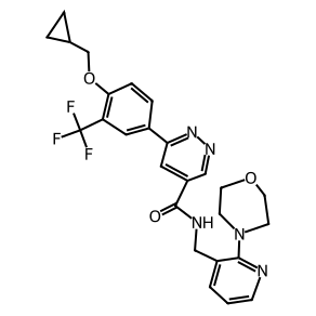 O=C(NCc1cccnc1N1CCOCC1)c1cnnc(-c2ccc(OCC3CC3)c(C(F)(F)F)c2)c1